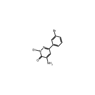 CCn1nc(-c2cccc(Br)c2)cc(N)c1=O